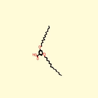 CCCCCCCCCCCCCCOc1cc(OCCCCCCCCCCCCCC)cc(C(=O)O)c1